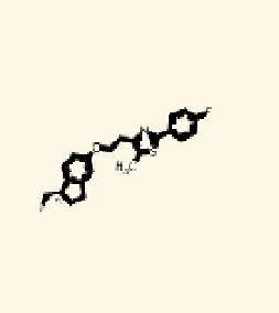 Cc1sc(-c2ccc(F)cc2)nc1CCOc1ccc2c(c1)CC[C@H]2CI